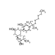 CCCCCCC(C)(C)c1ccc([C@@H]2C[C@H](O)C[C@H](C)[C@H]2CC(C)CO)c(O)c1